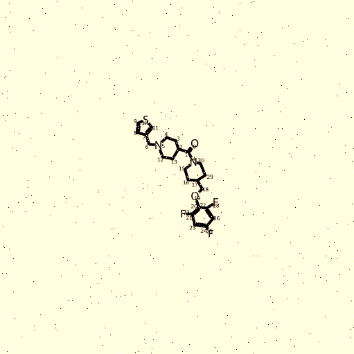 O=C(C1CCN(Cc2ccsc2)CC1)N1CCC(COc2c(F)cc(F)cc2F)CC1